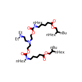 CCCCCCC(CCCC)COC(=O)CCCCN(CCCCCC)C(=O)OCCN(CCOC(=O)N(CCCCCC)CCCCC(=O)OCC(CCCC)CCCCCC)CCN(CC)CC